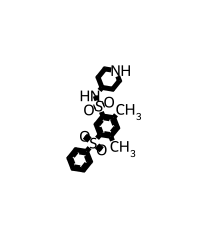 Cc1cc(C)c(S(=O)(=O)c2ccccc2)cc1S(=O)(=O)NC1CCNCC1